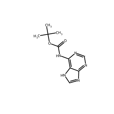 CC(C)(C)OC(=O)Nc1n[c]nc2nc[nH]c12